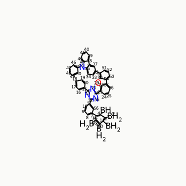 Bc1c(B)c(B)c(-c2cccc(-c3nc(-c4ccccc4)nc(-c4cccc5c4oc4c(-c6ccc7c(c6)c6ccccc6n7-c6ccccc6)cccc45)n3)c2)c(B)c1B